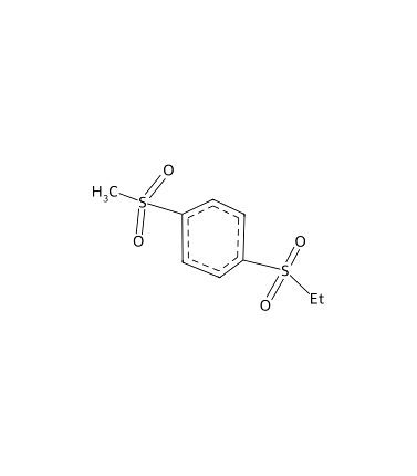 [CH2]CS(=O)(=O)c1ccc(S(C)(=O)=O)cc1